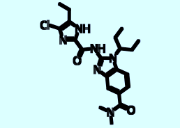 CCc1[nH]c(C(=O)Nc2nc3cc(C(=O)N(C)C)ccc3n2C(CC)CC)nc1Cl